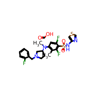 Cc1c(N(C)[C@H]2CCN(Cc3ccccc3F)C2)cc(F)c(S(=O)(=O)Nc2cscn2)c1F.O=CO